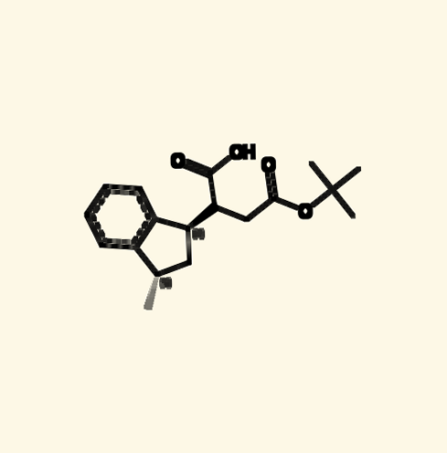 C[C@H]1C[C@H](C(CC(=O)OC(C)(C)C)C(=O)O)c2ccccc21